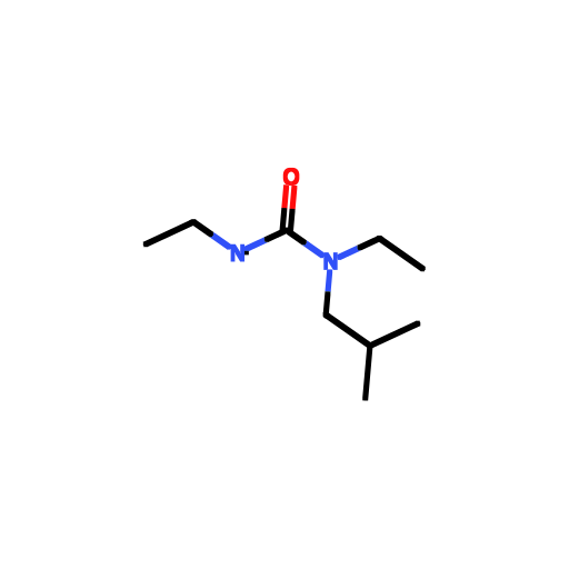 CC[N]C(=O)N(CC)CC(C)C